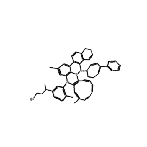 Cc1ccccccc2c(c1)N(c1cc(C(C)CCC(C)(C)C)ccc1C)c1cc(C)cc3c1B2N(C1C=CC(c2ccccc2)=CCC1)c1c-3ccc2c1C=CCC2